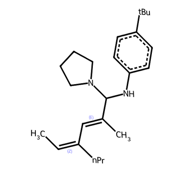 C/C=C(\C=C(/C)C(Nc1ccc(C(C)(C)C)cc1)N1CCCC1)CCC